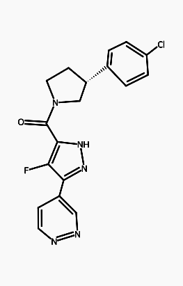 O=C(c1[nH]nc(-c2ccnnc2)c1F)N1CC[C@H](c2ccc(Cl)cc2)C1